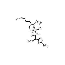 CC(=O)OC/C=C/C1=C(C(=O)O)N2C(=O)C(NC(=O)/C(=N\O)c3csc(N)n3)[C@H]2SC1